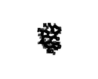 Nc1cncc(C(=O)N(c2ccc(F)cc2C2CC2)c2ccc([N+](=O)[O-])c3nonc23)n1